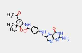 CC(=O)CCC(NC(=O)c1ccc(NCc2cnc3nc(N)[nH]c(=O)c3n2)cc1)C(=O)C(C)(C)C